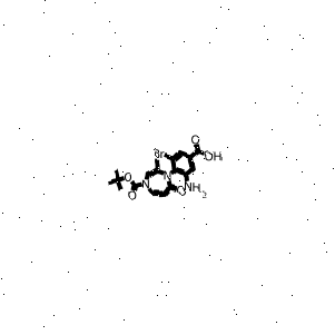 CC1=CN(C(=O)OC(C)(C)C)C=CC(=O)N1c1c(N)cc(C(=O)O)cc1Br